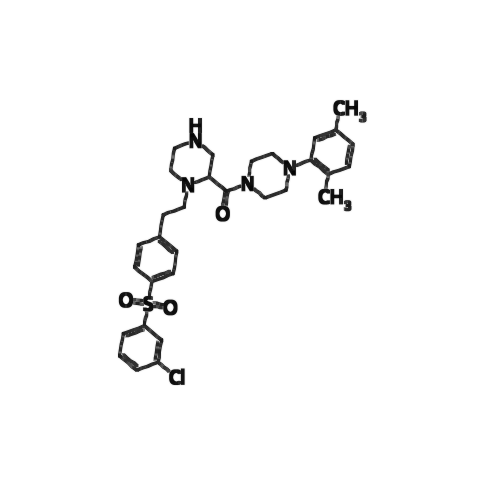 Cc1ccc(C)c(N2CCN(C(=O)C3CNCCN3CCc3ccc(S(=O)(=O)c4cccc(Cl)c4)cc3)CC2)c1